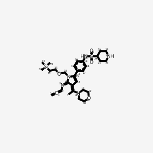 C=C=C/N=C1\C(=C(/C)N2CCOCC2)C=C(c2ccc(NS(=O)(=O)C3CCNCC3)cc2)N1COCC[Si](C)(C)C